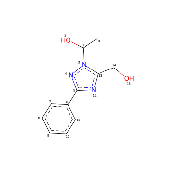 CC(O)n1nc(-c2ccccc2)nc1CO